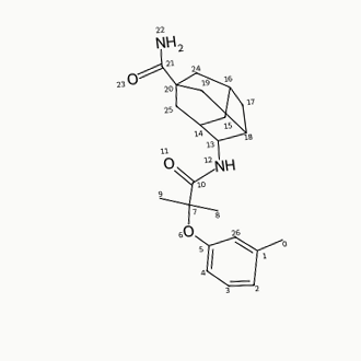 Cc1cccc(OC(C)(C)C(=O)NC2C3CC4CC2CC(C(N)=O)(C4)C3)c1